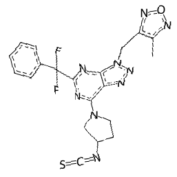 Cc1nonc1Cn1nnc2c(N3CCC(N=C=S)C3)nc(C(F)(F)c3ccccc3)nc21